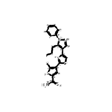 CCCc1c(-c2csc(-c3cc(C(N)=S)sc3C)n2)cnn1-c1ccccc1